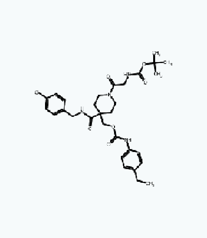 CCc1ccc(NC(=O)OCC2(C(=O)NCc3ccc(Cl)cc3)CCN(C(=O)CNC(=O)OC(C)(C)C)CC2)cc1